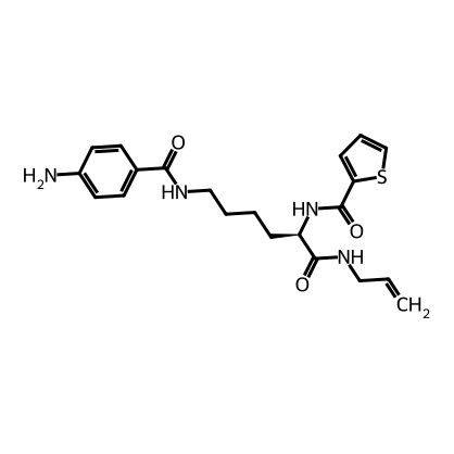 C=CCNC(=O)[C@@H](CCCCNC(=O)c1ccc(N)cc1)NC(=O)c1cccs1